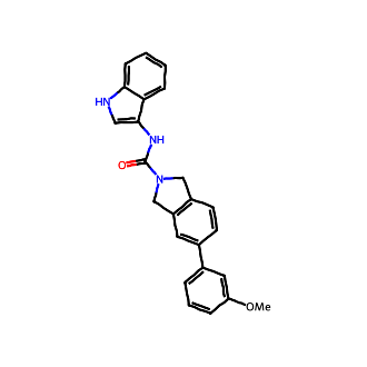 COc1cccc(-c2ccc3c(c2)CN(C(=O)Nc2c[nH]c4ccccc24)C3)c1